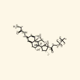 C[C@@H]1C[C@H]2[C@@H]3CCC4=C/C(=N/NC(=O)CN)C=C[C@]4(C)[C@@]3(F)[C@@H](O)C[C@@]23O[C@]13C(=O)CO[Si](C)(C)C(C)(C)C